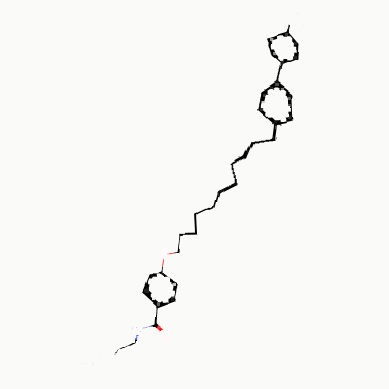 O=C(O)CCNC(=O)c1ccc(OCCCCCCCCCCCc2ccc(-c3ccc(C(F)(F)F)cc3)cc2)cc1